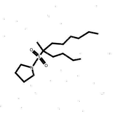 CCCCCCC(C)(CCCC)S(=O)(=O)N1CCCC1